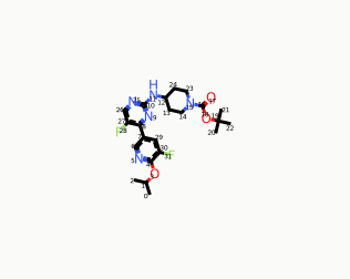 CC(C)Oc1ncc(-c2nc(NC3CCN(C(=O)OC(C)(C)C)CC3)ncc2F)cc1F